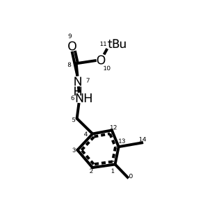 Cc1ccc(CNNC(=O)OC(C)(C)C)cc1C